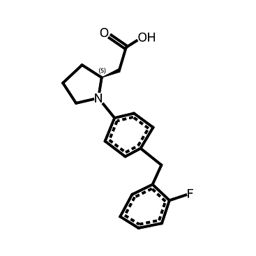 O=C(O)C[C@@H]1CCCN1c1ccc(Cc2ccccc2F)cc1